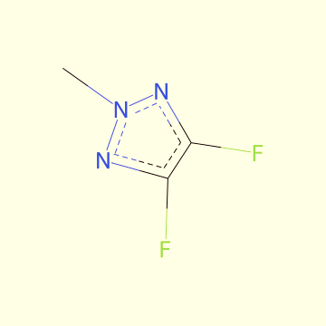 Cn1nc(F)c(F)n1